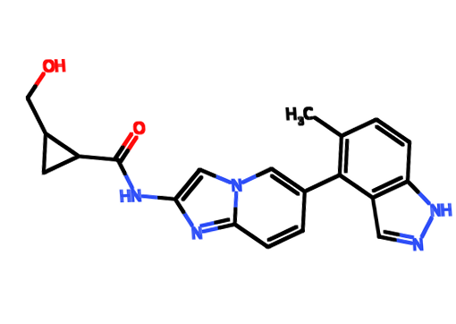 Cc1ccc2[nH]ncc2c1-c1ccc2nc(NC(=O)C3CC3CO)cn2c1